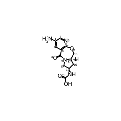 Nc1cnc2c(c1)C(=O)N1C[C@H](NC(=O)O)C[C@@H]1CO2